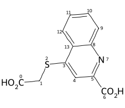 O=C(O)CSc1cc(C(=O)O)nc2ccccc12